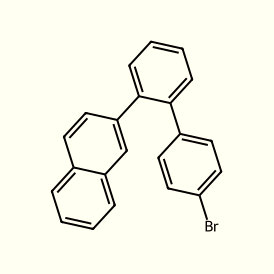 Brc1ccc(-c2ccccc2-c2ccc3ccccc3c2)cc1